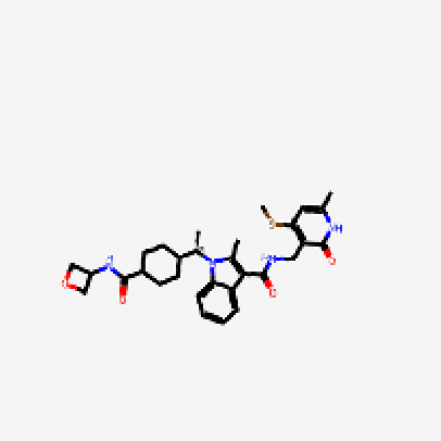 CSc1cc(C)[nH]c(=O)c1CNC(=O)c1c(C)n([C@H](C)C2CCC(C(=O)NC3COC3)CC2)c2ccccc12